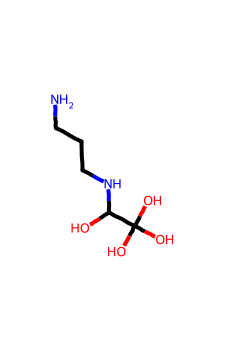 NCCCNC(O)C(O)(O)O